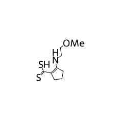 COCCNC1=C(C(=S)S)CCC1